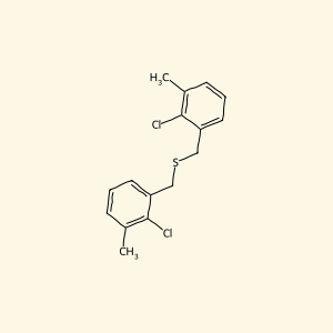 Cc1cccc(CSCc2cccc(C)c2Cl)c1Cl